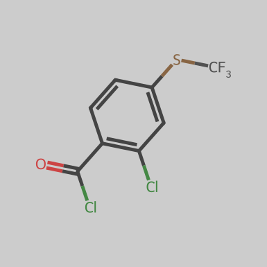 O=C(Cl)c1ccc(SC(F)(F)F)cc1Cl